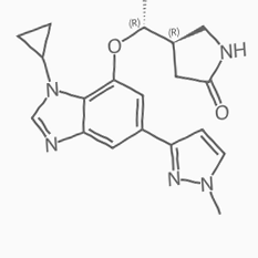 C[C@@H](Oc1cc(-c2ccn(C)n2)cc2ncn(C3CC3)c12)[C@H]1CNC(=O)C1